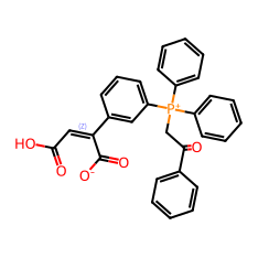 O=C(O)/C=C(\C(=O)[O-])c1cccc([P+](CC(=O)c2ccccc2)(c2ccccc2)c2ccccc2)c1